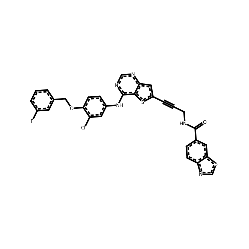 O=C(NCC#Cc1cc2ncnc(Nc3ccc(OCc4cccc(F)c4)c(Cl)c3)c2s1)c1ccc2ncsc2c1